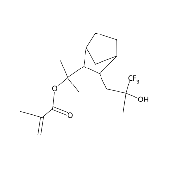 C=C(C)C(=O)OC(C)(C)C1C2CCC(C2)C1CC(C)(O)C(F)(F)F